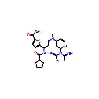 C=CC(CC(CC)N(C(C)=N)C(=N)C(C)C)N(C)CCC(NC(=O)C1CCCC1)c1ccc(C(=O)NC)s1